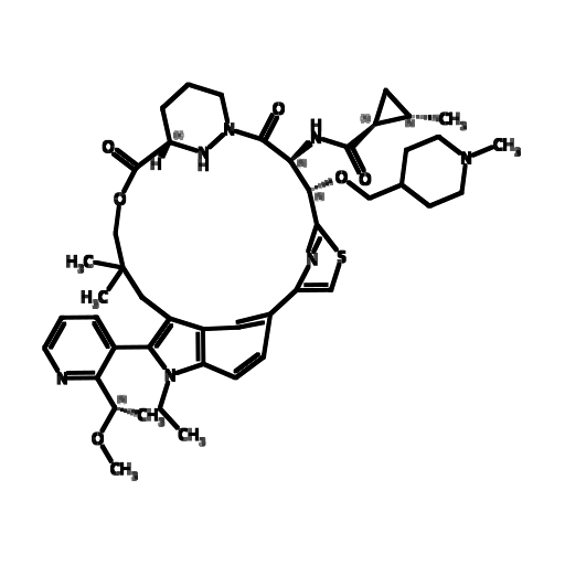 CCn1c(-c2cccnc2[C@H](C)OC)c2c3cc(ccc31)-c1csc(n1)[C@@H](OCC1CCN(C)CC1)[C@H](NC(=O)[C@H]1C[C@@H]1C)C(=O)N1CCC[C@H](N1)C(=O)OCC(C)(C)C2